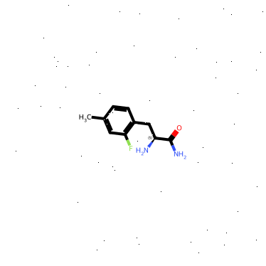 Cc1ccc(C[C@H](N)C(N)=O)c(F)c1